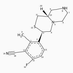 Cc1c([C@@H]2CN3CCNC[C@H]3CS2)ccc(F)c1C#N